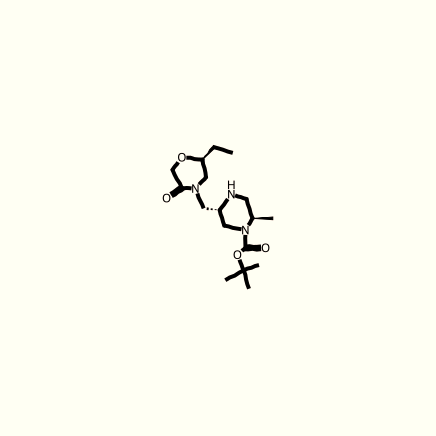 CC[C@H]1CN(C[C@H]2CN(C(=O)OC(C)(C)C)[C@H](C)CN2)C(=O)CO1